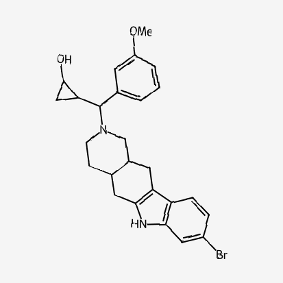 COc1cccc(C(C2CC2O)N2CCC3Cc4[nH]c5cc(Br)ccc5c4CC3C2)c1